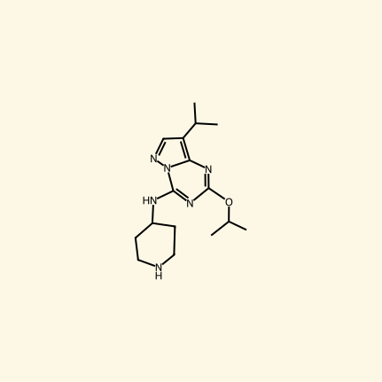 CC(C)Oc1nc(NC2CCNCC2)n2ncc(C(C)C)c2n1